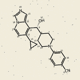 N#Cc1ccc(N2CCC([C@@H](O)c3c(C4CC4)ccn4cncc34)CC2)cc1